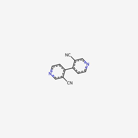 N#Cc1cnccc1-c1ccncc1C#N